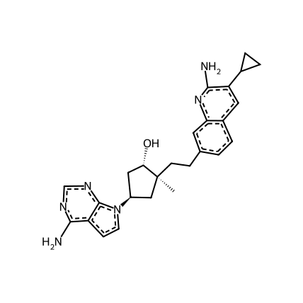 C[C@]1(CCc2ccc3cc(C4CC4)c(N)nc3c2)C[C@@H](n2ccc3c(N)ncnc32)C[C@@H]1O